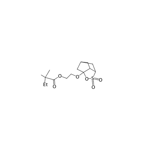 CCC(C)(C)C(=O)OCCOC12CC3CC1C(C3)S(=O)(=O)O2